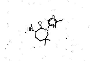 CNC1CCC(C)(C)CN(c2coc(C)n2)C1=O